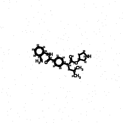 CC(C)CN(C(=O)OC1CCNC1)c1ccc(C(=O)Nc2ccccc2N)cc1